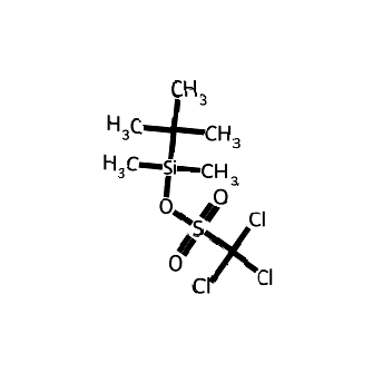 CC(C)(C)[Si](C)(C)OS(=O)(=O)C(Cl)(Cl)Cl